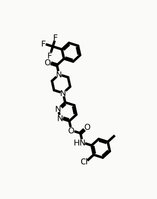 Cc1ccc(Cl)c(NC(=O)Oc2ccc(N3CCN(C(=O)c4ccccc4C(F)(F)F)CC3)nn2)c1